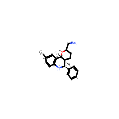 NCC1CC[C@H]2[C@@H](c3ccccc3)Nc3ccc(C(F)(F)F)cc3[C@H]2O1